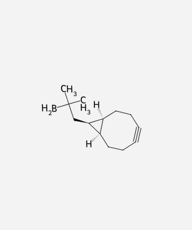 BC(C)(C)C[C@@H]1[C@@H]2CCC#CCC[C@@H]21